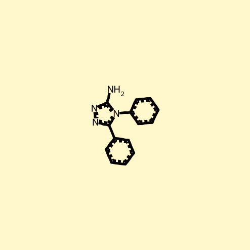 Nc1nnc(-c2ccccc2)n1-c1ccccc1